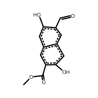 COC(=O)c1cc2cc(O)c(C=O)cc2cc1O